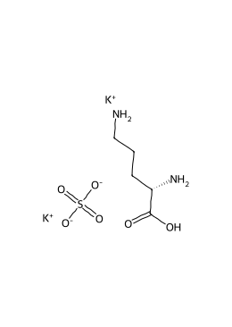 NCCC[C@H](N)C(=O)O.O=S(=O)([O-])[O-].[K+].[K+]